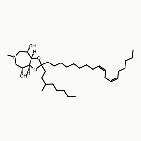 CCCCC/C=C\C/C=C\CCCCCCCCC1(CCC(C)CCCCC)O[C@@H]2[C@H](O1)[C@@H](O)CN(C)C[C@H]2O